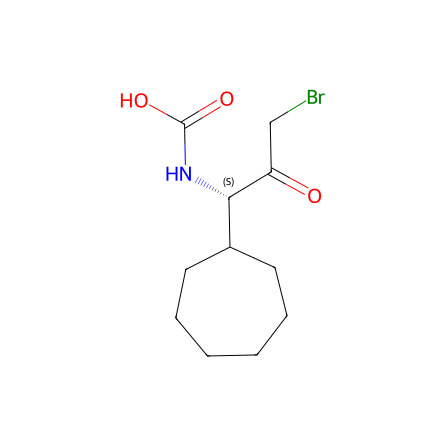 O=C(O)N[C@H](C(=O)CBr)C1CCCCCC1